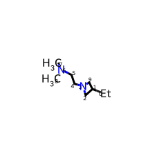 CCC1CN(CCN(C)C)C1